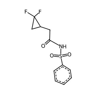 O=C(CC1CC1(F)F)NS(=O)(=O)c1ccccc1